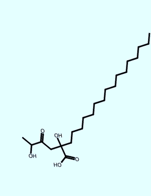 CCCCCCCCCCCCCCCCC(O)(CC(=O)C(C)O)C(=O)O